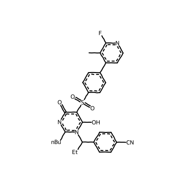 CCCCc1nc(=O)c(S(=O)(=O)c2ccc(-c3ccnc(F)c3C)cc2)c(O)n1C(CC)c1ccc(C#N)cc1